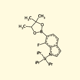 CC1OB(c2ccc3ccn([Si](C(C)C)(C(C)C)C(C)C)c3c2F)OC1(C)C